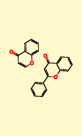 O=c1cc(-c2ccccc2)oc2ccccc12.O=c1ccoc2ccccc12